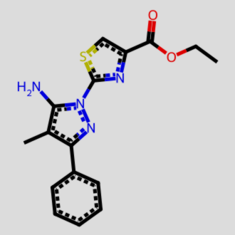 CCOC(=O)c1csc(-n2nc(-c3ccccc3)c(C)c2N)n1